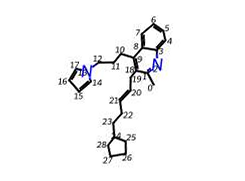 Cc1nc2ccccc2c(CCCn2cccc2)c1C/C=C/CCC1CCCC1